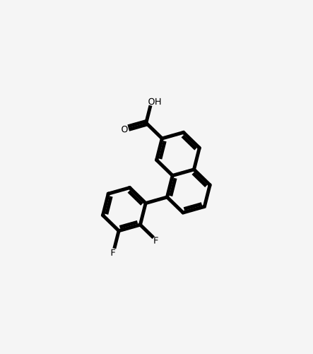 O=C(O)c1ccc2cccc(-c3cccc(F)c3F)c2c1